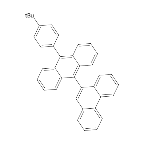 CC(C)(C)c1ccc(-c2c3ccccc3c(-c3cc4ccccc4c4ccccc34)c3ccccc23)cc1